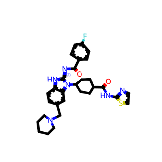 O=C(/N=c1/[nH]c2ccc(CN3CCCCC3)cc2n1C1CCC(C(=O)Nc2nccs2)CC1)c1ccc(F)cc1